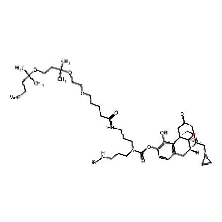 COCCC(C)(C)OCCC(C)(C)OCCOCCCCC(=O)NCCCN(CCCNC(C)C)C(=O)Oc1ccc2c(c1O)[C@]13CCN(CC4CC4)[C@H](C2)[C@]1(O)CCC(=O)C3